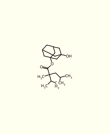 CC(C)CC(C)(C(=O)OC12CC3CC(CC(O)(C3)C1)C2)C(C)C